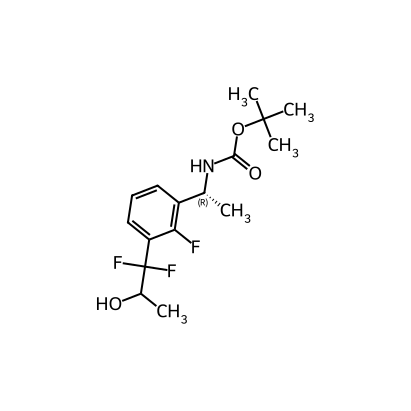 CC(O)C(F)(F)c1cccc([C@@H](C)NC(=O)OC(C)(C)C)c1F